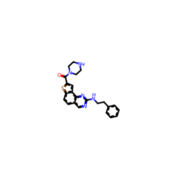 O=C(c1cc2c(ccc3cnc(NCCc4ccccc4)nc32)s1)N1CCNCC1